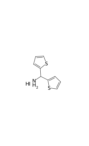 I.NC(c1cccs1)c1cccs1